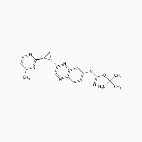 Cc1ccnc([C@H]2C[C@@H]2c2cnc3ccc(NC(=O)OC(C)(C)C)cc3n2)n1